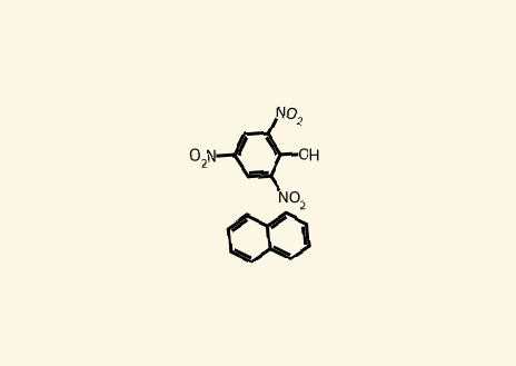 O=[N+]([O-])c1cc([N+](=O)[O-])c(O)c([N+](=O)[O-])c1.c1ccc2ccccc2c1